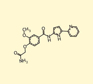 COc1cc(C(=O)Nc2ccc(-c3ccccn3)[nH]2)ccc1OCC(N)=O